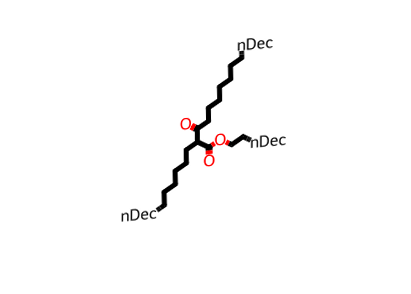 CCCCCCCCCCCCCCCCCC(=O)C(CCCCCCCCCCCCCCCC)C(=O)OCCCCCCCCCCCC